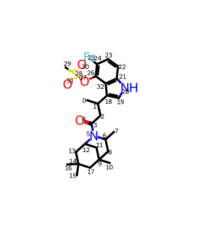 CC(CC(=O)N1C(C)CC2(C)CC1CC(C)(C)C2)c1c[nH]c2ccc(F)c(OS(C)(=O)=O)c12